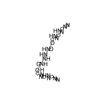 CN1CCN(c2ccc3[nH]c(-c4ccc5nc(-c6cccc(OCCCC(=O)NCCCNCCNCCCNC(=O)CCCOc7cccc(-c8nc9ccc(-c%10nc%11cc(N%12CCN(C)CC%12)ccc%11[nH]%10)cc9[nH]8)c7)c6)[nH]c5c4)nc3c2)CC1